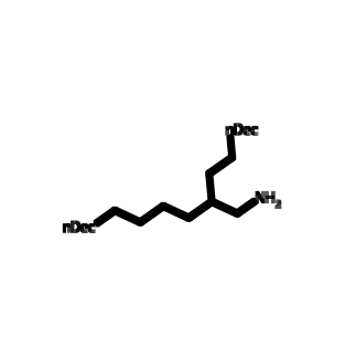 CCCCCCCCCCCCCCC(CN)CCCCCCCCCCCC